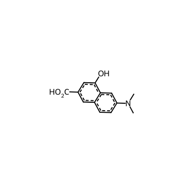 CN(C)c1ccc2cc(C(=O)O)cc(O)c2c1